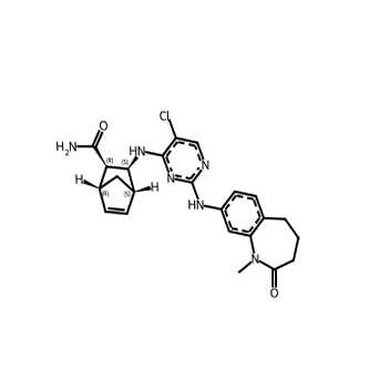 CN1C(=O)CCCc2ccc(Nc3ncc(Cl)c(N[C@@H]4[C@H](C(N)=O)[C@H]5C=C[C@@H]4C5)n3)cc21